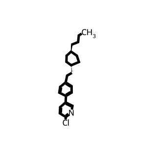 CCCC[C@H]1CC[C@H](CCc2ccc(-c3ccc(Cl)nc3)cc2)CC1